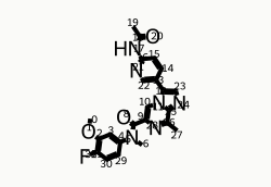 COc1cc(N(C)C(=O)c2cn3c(-c4ccc(NC(C)=O)nc4)cnc3c(C)n2)ccc1F